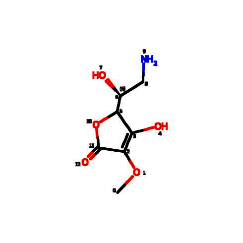 COC1=C(O)C([C@@H](O)CN)OC1=O